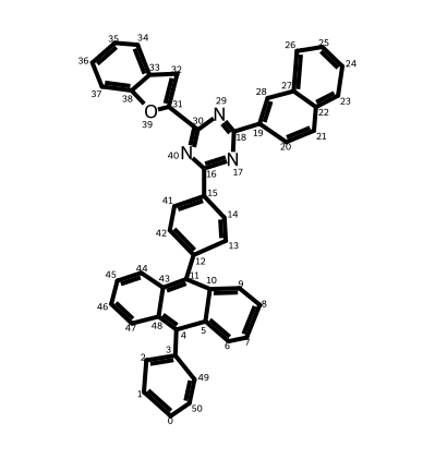 c1ccc(-c2c3ccccc3c(-c3ccc(-c4nc(-c5ccc6ccccc6c5)nc(-c5cc6ccccc6o5)n4)cc3)c3ccccc23)cc1